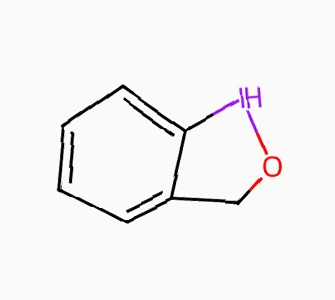 c1ccc2c(c1)CO[IH]2